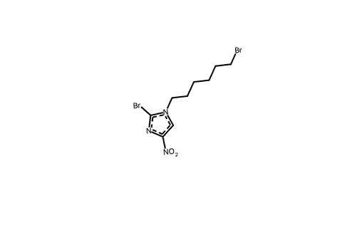 O=[N+]([O-])c1cn(CCCCCCBr)c(Br)n1